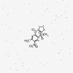 Cc1cc([S+]([O-])C2CCCC2)c(S(C)(=O)=O)cc1C(=O)Cl